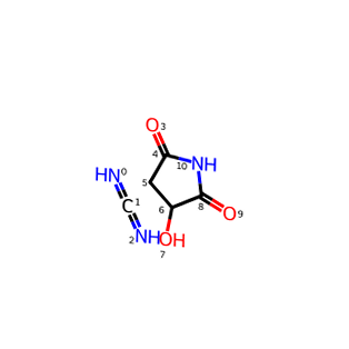 N=C=N.O=C1CC(O)C(=O)N1